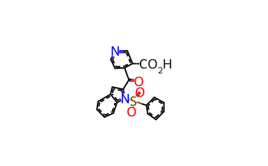 O=C(O)c1cnccc1C(=O)c1cc2ccccc2n1S(=O)(=O)c1ccccc1